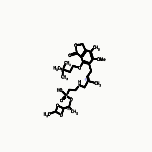 COc1c(C)c2c(c(OCC[Si](C)(C)C)c1C/C=C(\C)CNCCP(=O)(O)O[C@@H](C)C1OC(C)O1)C(=O)OC2